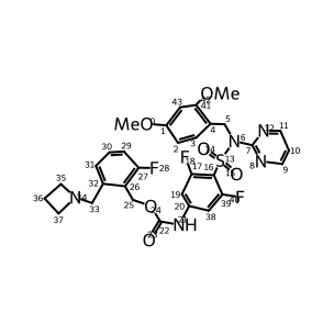 COc1ccc(CN(c2ncccn2)S(=O)(=O)c2c(F)cc(NC(=O)OCc3c(F)cccc3CN3CCC3)cc2F)c(OC)c1